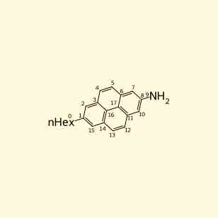 CCCCCCc1cc2ccc3cc(N)cc4ccc(c1)c2c34